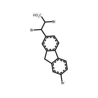 O=C(O)C(Br)C(Br)c1ccc2c(c1)Cc1cc(Br)ccc1-2